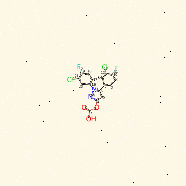 O=C(O)Oc1cc(-c2ccc(F)c(Cl)c2)n(-c2ccc(F)c(Cl)c2)n1